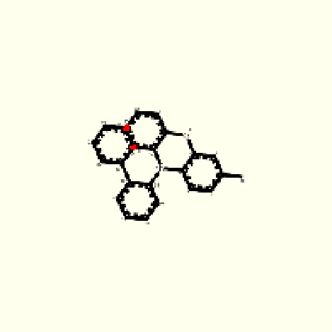 Cc1ccc2c(c1)Oc1ccccc1N2c1ccccc1-c1ccccc1